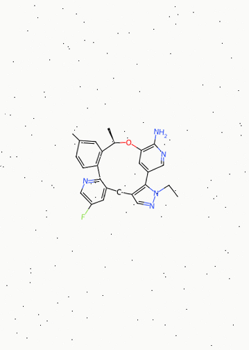 CCn1ncc2c1-c1cnc(N)c(c1)O[C@H](C)c1cc(C)ccc1-c1ncc(F)cc1C2